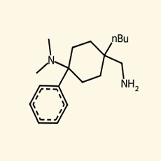 CCCCC1(CN)CCC(c2ccccc2)(N(C)C)CC1